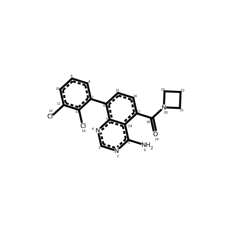 Nc1ncnc2c(-c3cccc(Cl)c3Cl)ccc(C(=O)N3CCC3)c12